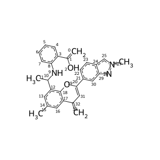 C=C(O)c1ccccc1NC(C)c1cc(C)cc2c1OC(c1ccc3cn(C)nc3c1)=CC2=C